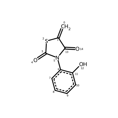 C=C1SC(=O)N(c2ccccc2O)C1=O